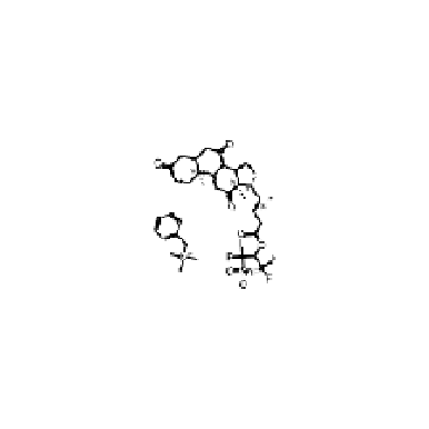 C[C@H](CCC(=O)OC(C(F)(F)F)C(F)(F)S(=O)(=O)[O-])[C@H]1CCC2C3C(=O)CC4CC(=O)CC[C@]4(C)C3CC(=O)[C@@]21C.C[N+](C)(C)Cc1ccccc1